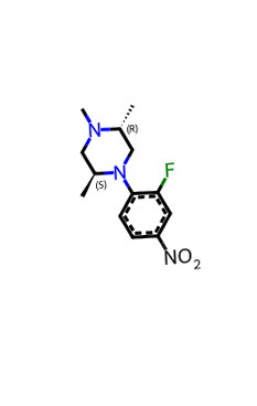 C[C@@H]1CN(c2ccc([N+](=O)[O-])cc2F)[C@@H](C)CN1C